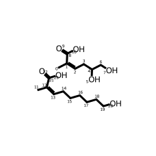 CC(=CCC(O)CO)C(=O)O.CC(=CCCCCCCO)C(=O)O